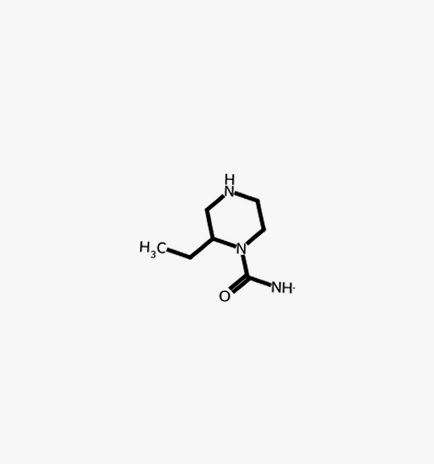 CCC1CNCCN1C([NH])=O